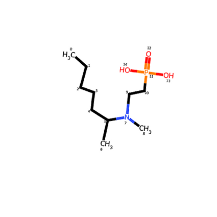 CCCCCC(C)N(C)CCP(=O)(O)O